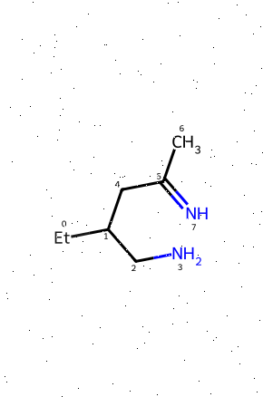 CCC(CN)CC(C)=N